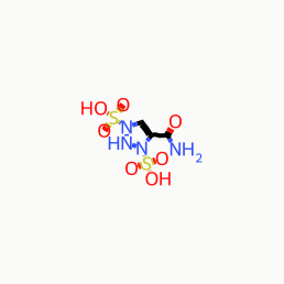 NC(=O)C1=CN(S(=O)(=O)O)NN1S(=O)(=O)O